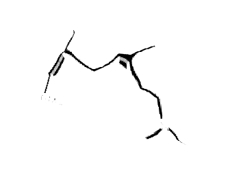 CN/C=C(/C)C/C=C(/C)CCN(C)C